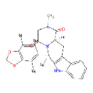 [2H]c1c([2H])c([C@]2([2H])c3[nH]c4ccccc4c3C[C@@H]3C(=O)N(C)CC(=O)N32)c([2H])c2c1OCO2